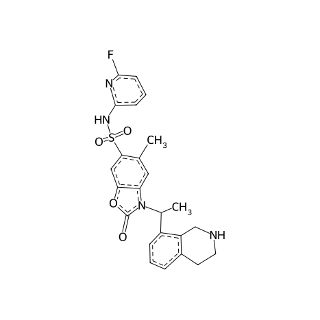 Cc1cc2c(cc1S(=O)(=O)Nc1cccc(F)n1)oc(=O)n2C(C)c1cccc2c1CNCC2